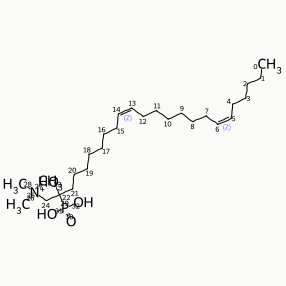 CCCCC/C=C\CCCCCC/C=C\CCCCCCCC(O)(C[N+](C)(C)C)P(=O)(O)O